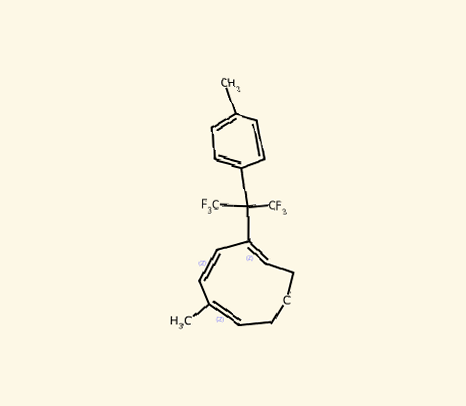 CC1=C/CCC/C=C(C(c2ccc(C)cc2)(C(F)(F)F)C(F)(F)F)/C=C\1